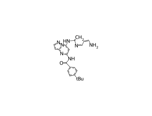 C=C(/N=C\C=C/N)Nc1cc(NC(=O)c2ccc(C(C)(C)C)cc2)nc2ccnn12